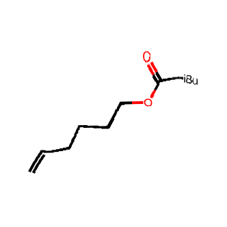 C=CCCCCOC(=O)C(C)CC